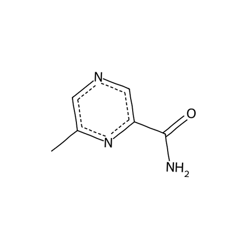 Cc1cncc(C(N)=O)n1